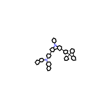 c1ccc(-n2c3ccc(-c4ccc(N(c5ccc6ccccc6c5)c5ccc6ccccc6c5)cc4)cc3c3cc(-c4ccc(C5(c6ccccc6)c6ccccc6-c6ccccc65)cc4)ccc32)cc1